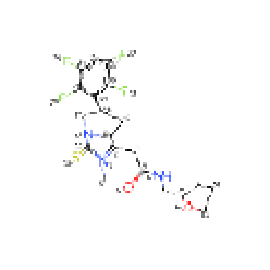 Cn1c(CC(=O)NC[C@@H]2CCCO2)c2n(c1=S)C[C@@H](c1c(F)c(F)cc(F)c1F)C2